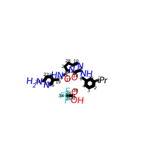 CC(C)c1cccc(CNc2ncc3n(c2=O)[C@H](C(=O)NCc2ccc(N)nc2)CC3)c1.O=C(O)C(F)(F)F